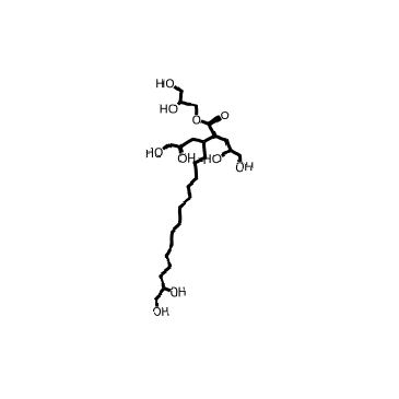 O=C(OCC(O)CO)C(CC(O)CO)C(CCCCCCCCCCCCC(O)CO)CC(O)CO